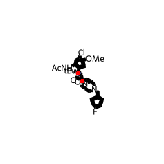 COc1cc(/C=C/C(=O)N2C3CN(Cc4ccc(F)cc4)CC2CN(C(=O)OC(C)(C)C)C3)c(NC(C)=O)cc1Cl